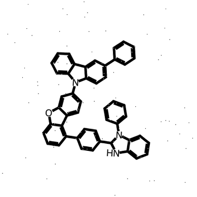 c1ccc(-c2ccc3c(c2)c2ccccc2n3-c2ccc3c(c2)oc2cccc(-c4ccc(C5Nc6ccccc6N5c5ccccc5)cc4)c23)cc1